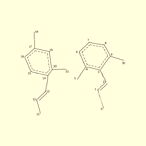 CC=Cc1c(C)cccc1C.CC=Cc1ccc(C)cc1C